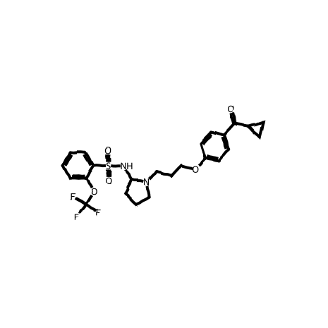 O=C(c1ccc(OCCCN2CCCC2NS(=O)(=O)c2ccccc2OC(F)(F)F)cc1)C1CC1